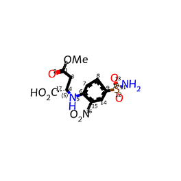 COC(=O)C[C@H](Nc1ccc(S(N)(=O)=O)cc1[N+](=O)[O-])C(=O)O